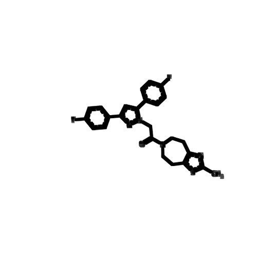 Cc1nc2c(s1)CCN(C(=O)Cn1nc(-c3ccc(F)cc3)cc1-c1ccc(F)cc1)CC2